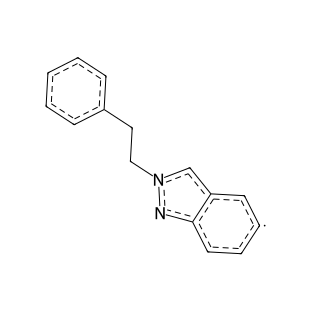 [c]1ccc2nn(CCc3ccccc3)cc2c1